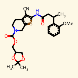 COc1ccccc1C(C)CC(=O)Nc1sc2c(c1C#N)CCN(C(=O)OCC1COC(C)(C)O1)C2